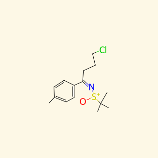 Cc1ccc(/C(CCCCl)=N\[S+]([O-])C(C)(C)C)cc1